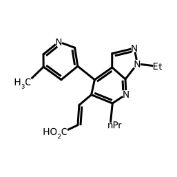 CCCc1nc2c(cnn2CC)c(-c2cncc(C)c2)c1C=CC(=O)O